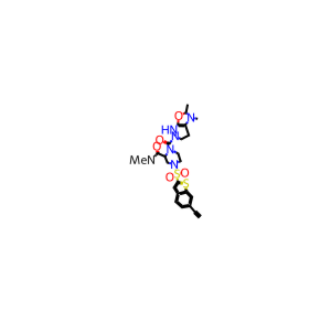 C#Cc1ccc2cc(S(=O)(=O)N3CCN(C(=O)N4CCC5=C(N4)OC(C)N5C)C(C(=O)NC)C3)sc2c1